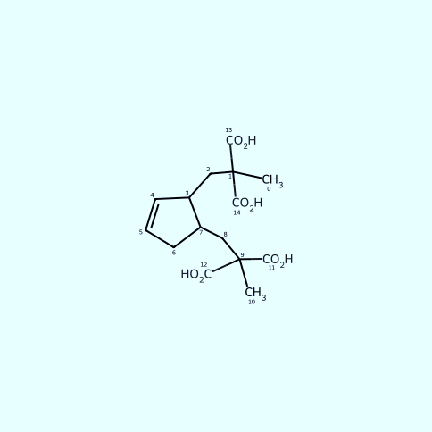 CC(CC1C=CCC1CC(C)(C(=O)O)C(=O)O)(C(=O)O)C(=O)O